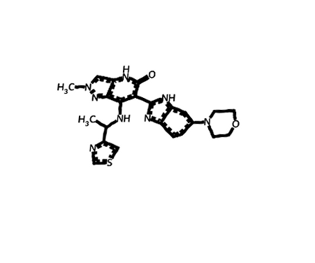 CC(Nc1c(-c2nc3ccc(N4CCOCC4)cc3[nH]2)c(=O)[nH]c2cn(C)nc12)c1cscn1